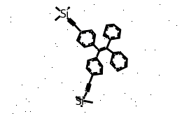 C[Si](C)(C)C#Cc1ccc(C(=C(c2ccccc2)c2ccccc2)c2ccc(C#C[Si](C)(C)C)cc2)cc1